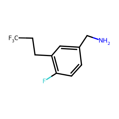 NCc1ccc(F)c(CCC(F)(F)F)c1